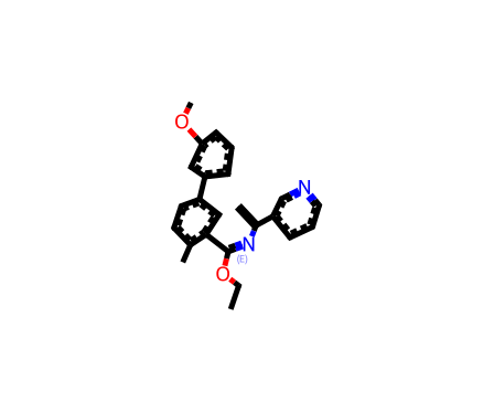 C=C(/N=C(/OCC)c1cc(-c2cccc(OC)c2)ccc1C)c1cccnc1